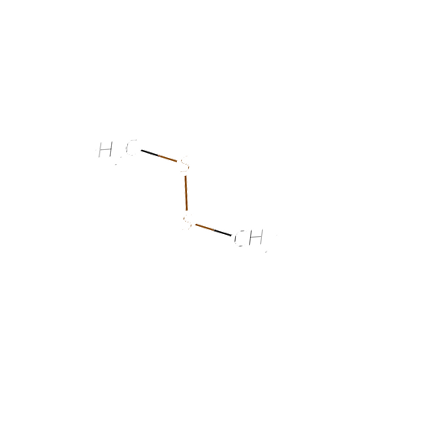 [CH2]SS[CH2]